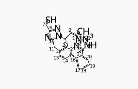 CC=CCn1nc(CS)nc1Cc1ccc(-c2ccccc2-c2nnn[nH]2)cc1